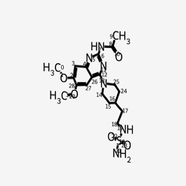 COc1cc2nc(NC(C)=O)nc(N3CCC(CCNS(N)(=O)=O)CC3)c2cc1OC